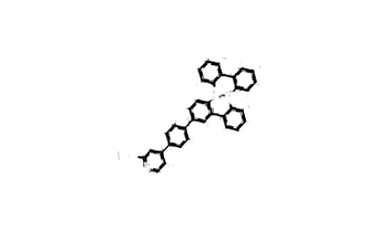 Cc1cc(-c2ccc(-c3ccc4c(c3)-c3ccccc3B3c5ccccc5-c5ccccc5N34)cc2)ccn1